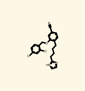 N#Cc1ccc(CCCCc2ncc[nH]2)c(OCc2ccc(Cl)cc2Cl)c1